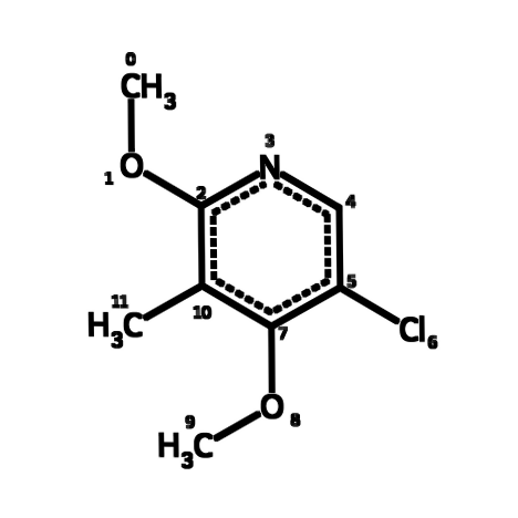 COc1ncc(Cl)c(OC)c1C